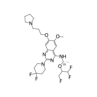 COc1cc2c(N[C@H](C)OC(CF)C(F)F)nc(N3CCC(F)(F)CC3)nc2cc1OCCCN1CCCC1